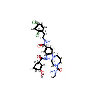 CCNC(=O)N1CCCN(c2ccc(C(=O)NCCc3ccc(Cl)cc3Cl)cc2NC(=O)c2cccc(OC)c2)CC1